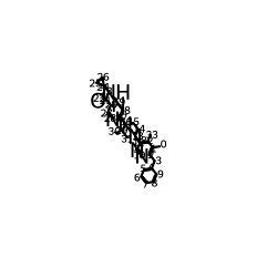 Cc1c(Cc2ccccc2)nnc(N2CCN(c3cnc(C(=O)NC4CC4)cn3)[C@H](C)C2)c1C